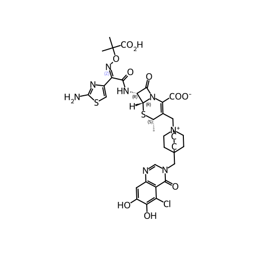 C[C@@H]1S[C@@H]2[C@H](NC(=O)/C(=N\OC(C)(C)C(=O)O)c3csc(N)n3)C(=O)N2C(C(=O)[O-])=C1C[N+]12CCC(Cn3cnc4cc(O)c(O)c(Cl)c4c3=O)(CC1)CC2